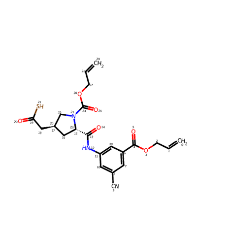 C=CCOC(=O)c1cc(C#N)cc(NC(=O)[C@@H]2C[C@@H](CC(=O)S)CN2C(=O)OCC=C)c1